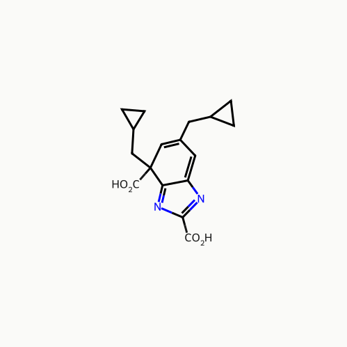 O=C(O)C1=NC2=CC(CC3CC3)=CC(CC3CC3)(C(=O)O)C2=N1